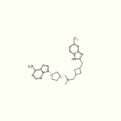 CN(CC1CC(Cc2nc3cc(C(F)(F)F)ccc3[nH]2)C1)C[C@@H]1CC[C@H](n2ccc3c(N)ncnc32)C1